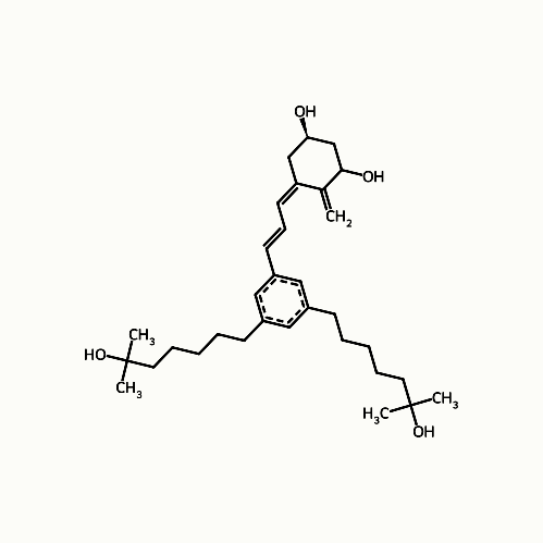 C=C1/C(=C\C=C\c2cc(CCCCCC(C)(C)O)cc(CCCCCC(C)(C)O)c2)C[C@@H](O)CC1O